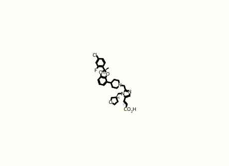 C[C@]1(c2ccc(Cl)cc2F)Oc2cccc(C3CCN(Cc4ncc(/C=C/C(=O)O)n4C[C@H]4CCOC4)CC3)c2O1